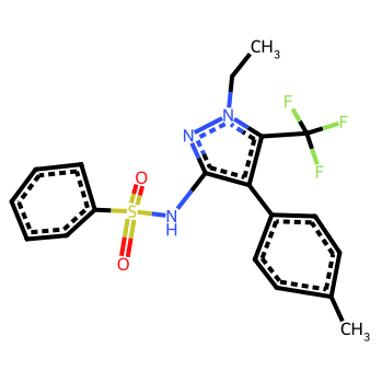 CCn1nc(NS(=O)(=O)c2ccccc2)c(-c2ccc(C)cc2)c1C(F)(F)F